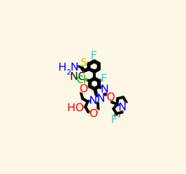 N#Cc1c(N)sc2c(F)ccc(-c3c(Cl)c4c5c(nc(OCC67CCCN6C[C@H](F)C7)nc5c3F)N3CCOCC(O)C3CCO4)c12